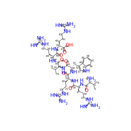 CC(C)[C@H](N)C(=O)N[C@@H](CCCNC(=N)N)C(=O)N[C@@H](CCCNC(=N)N)C(=O)N[C@@H](Cc1c[nH]c2ccccc12)C(=O)N[C@H](C(=O)N[C@@H](CCCNC(=N)N)C(=O)N[C@@H](CCCNC(=N)N)C(=O)O)C(C)C